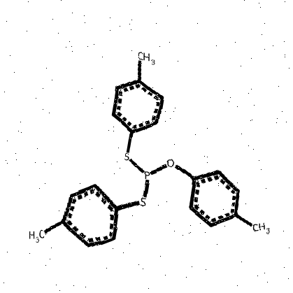 Cc1ccc(OP(Sc2ccc(C)cc2)Sc2ccc(C)cc2)cc1